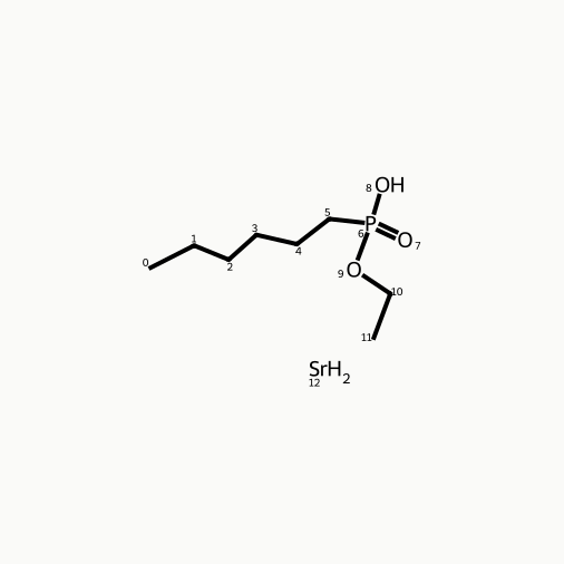 CCCCCCP(=O)(O)OCC.[SrH2]